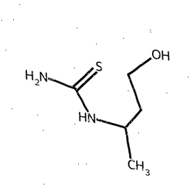 CC(CCO)NC(N)=S